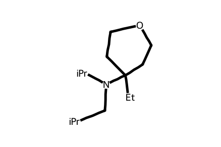 CCC1(N(CC(C)C)C(C)C)CCOCC1